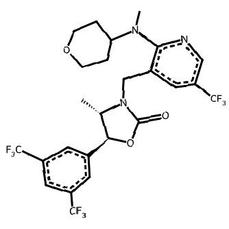 C[C@H]1[C@H](c2cc(C(F)(F)F)cc(C(F)(F)F)c2)OC(=O)N1Cc1cc(C(F)(F)F)cnc1N(C)C1CCOCC1